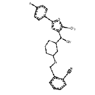 Cc1oc(-c2ccc(F)cc2)nc1C(O)C1CCCC(OCc2ccccc2C#N)C1